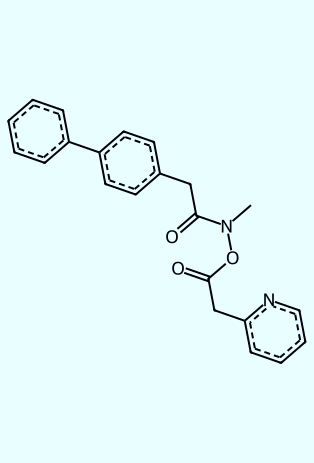 CN(OC(=O)Cc1ccccn1)C(=O)Cc1ccc(-c2ccccc2)cc1